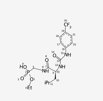 CCOP(=O)(O)CNC(=O)[C@H](CC(C)C)NC(=O)Nc1ccc(C(F)(F)F)cc1